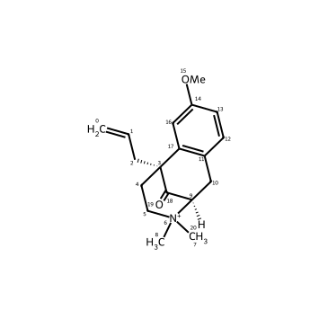 C=CC[C@]12CC[N+](C)(C)[C@H](Cc3ccc(OC)cc31)C2=O